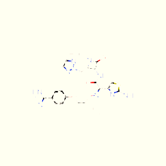 N=C(N)c1ccc(OC[C@H](O/N=C(\C(=O)N[C@@H]2C(=O)N(S(=O)(=O)O)[C@@H]2Cn2nccn2)c2csc(N)n2)C(=O)O)cc1